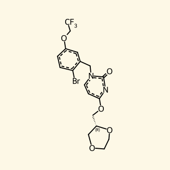 O=c1nc(OC[C@H]2COCCO2)ccn1Cc1cc(OCC(F)(F)F)ccc1Br